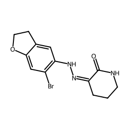 O=C1NCCCC1=NNc1cc2c(cc1Br)OCC2